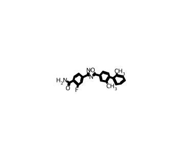 Cc1ccccc1-c1ccc(-c2nc(-c3ccc(C(N)=O)c(F)c3)no2)cc1C